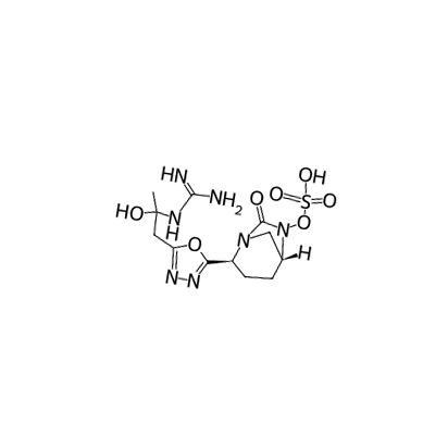 CC(O)(Cc1nnc([C@@H]2CC[C@@H]3CN2C(=O)N3OS(=O)(=O)O)o1)NC(=N)N